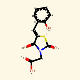 O=C(O)CN1C(=O)SC(=Cc2ccccc2O)C1=O